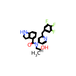 C[C@@H](O)CN(C(=O)c1cccc2c1CCN2)c1ccnc(Cc2cc(F)c(F)c(F)c2)c1